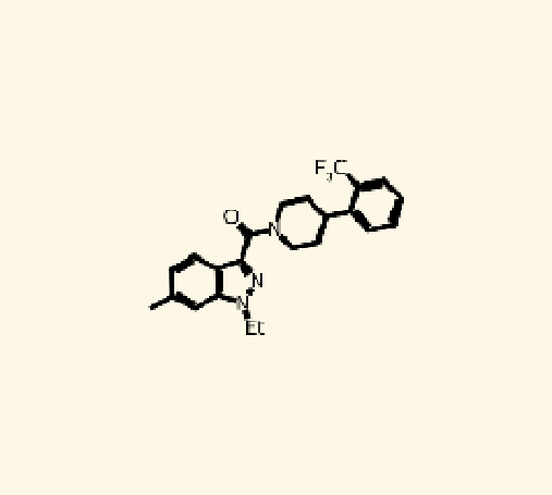 CCn1nc(C(=O)N2CCC(c3ccccc3C(F)(F)F)CC2)c2ccc(C)cc21